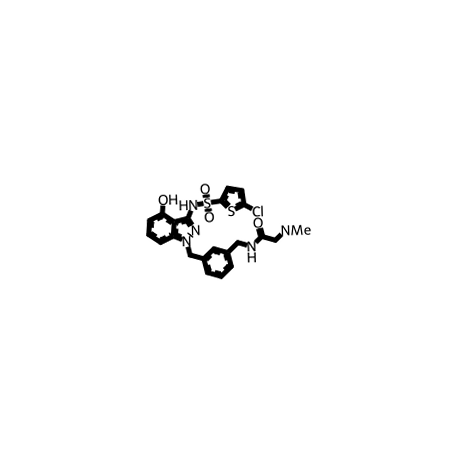 CNCC(=O)NCc1cccc(Cn2nc(NS(=O)(=O)c3ccc(Cl)s3)c3c(O)cccc32)c1